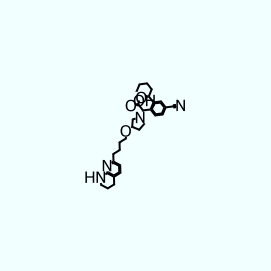 N#Cc1ccc(C(C(=O)O)N2CC[C@@H](OCCCCc3ccc4c(n3)NCCC4)C2)c(C2CCCCO2)c1